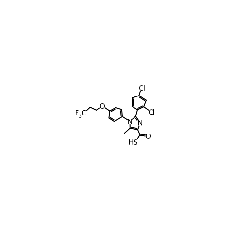 Cc1c(C(=O)S)nc(-c2ccc(Cl)cc2Cl)n1-c1ccc(OCCC(F)(F)F)cc1